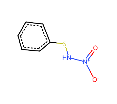 O=[N+]([O-])NSc1ccccc1